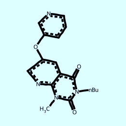 CCCCn1c(=O)c2cc(Oc3cccnc3)cnc2n(C)c1=O